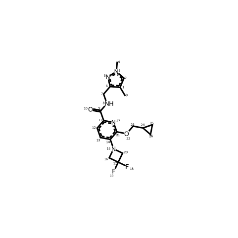 Cc1cn(C)nc1CNC(=O)c1ccc(N2CC(F)(F)C2)c(OCC2CC2)n1